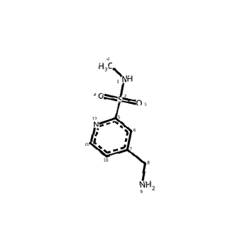 CNS(=O)(=O)c1cc(CN)ccn1